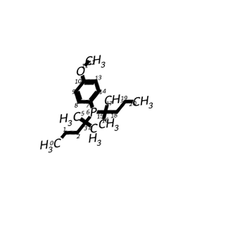 CCCC(C)(C)P(c1ccc(OC)cc1)C(C)(C)CCC